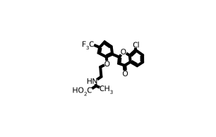 CC(NCCOc1cc(C(F)(F)F)ccc1-c1cc(=O)c2cccc(Cl)c2o1)C(=O)O